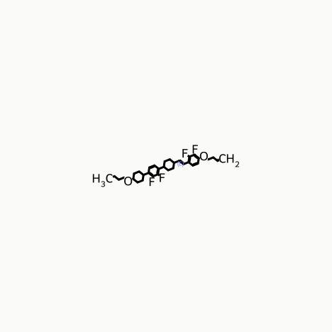 C=CCCOc1ccc(/C=C/C2CCC(c3ccc(C4CCC(OCCCC)CC4)c(F)c3F)CC2)c(F)c1F